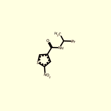 CC(C)C(C)NC(=O)c1csc([N+](=O)[O-])c1